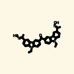 CCn1c2ccc(C(=O)c3ccc4c(c3)c3cc(C(C)=NO)ccc3n4CC)cc2c2cc(C(C)=NO)ccc21